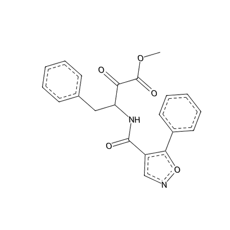 COC(=O)C(=O)C(Cc1ccccc1)NC(=O)c1cnoc1-c1ccccc1